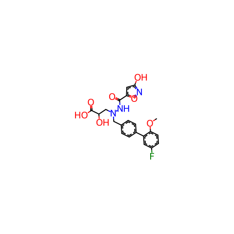 COc1ccc(F)cc1-c1ccc(CN(CC(O)C(=O)O)NC(=O)c2cc(O)no2)cc1